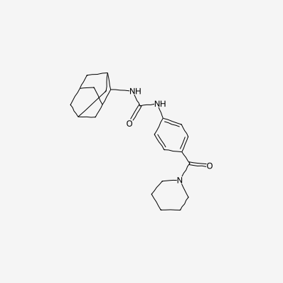 O=C(Nc1ccc(C(=O)N2CCCCC2)cc1)NC1C2CC3CC(C2)CC1C3